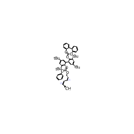 C#C/C=C\C=C/COP(Oc1ccccc1)Oc1c(-c2cc(C(C)(C)C)cc(C(C)(C)C)c2Op2oc3ccccc3c3ccccc3o2)cc(C(C)(C)C)cc1C(C)(C)C